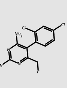 Nc1nc(N)c(-c2ccc(Cl)cc2Cl)c(CF)n1